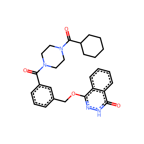 O=C(c1cccc(COc2n[nH]c(=O)c3ccccc23)c1)N1CCN(C(=O)C2CCCCC2)CC1